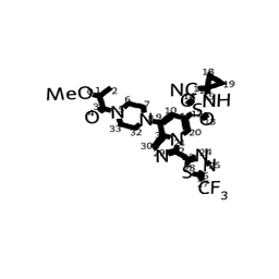 COC(C)C(=O)N1CCN(c2cc(S(=O)(=O)NC3(C#N)CC3)cn3c(-c4nnc(C(F)(F)F)s4)ncc23)CC1